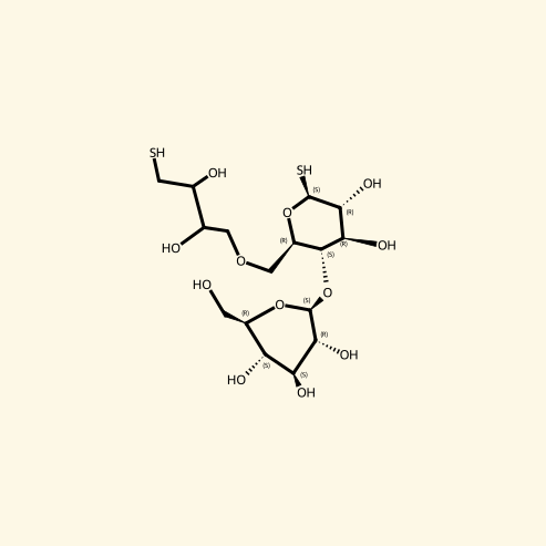 OC[C@H]1O[C@@H](O[C@H]2[C@H](O)[C@@H](O)[C@H](S)O[C@@H]2COCC(O)C(O)CS)[C@H](O)[C@@H](O)[C@@H]1O